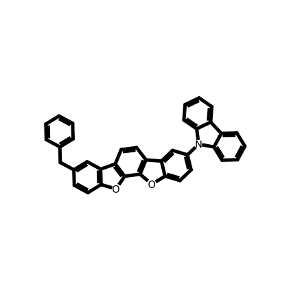 c1ccc(Cc2ccc3oc4c(ccc5c6cc(-n7c8ccccc8c8ccccc87)ccc6oc54)c3c2)cc1